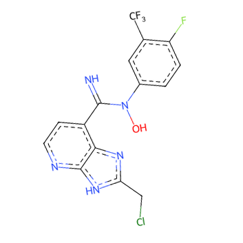 N=C(c1ccnc2[nH]c(CCl)nc12)N(O)c1ccc(F)c(C(F)(F)F)c1